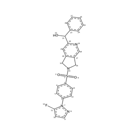 O=S(=O)(c1ccc(-n2nccc2F)cc1)N1Cc2cnc(C(O)c3ccccc3)cc2C1